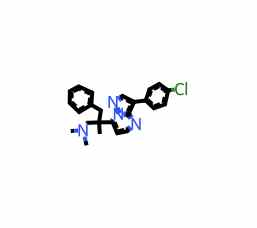 CN(C)CC(C)(Cc1ccccc1)c1ccnc2c(-c3ccc(Cl)cc3)cnn12